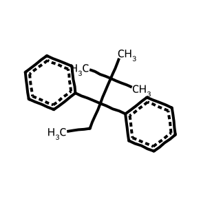 CCC(c1ccccc1)(c1ccccc1)C(C)(C)C